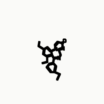 CCc1cccc(C2=NCc3nc(=O)ccn3-c3cc(CC)cc(CC)c32)c1